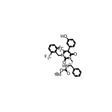 Cc1c(-c2cccc(O)c2)c(=O)n(C[C@@H](NC(=O)OC(C)(C)C)c2ccccc2)c(=O)n1Cc1c(F)cccc1C(F)(F)F